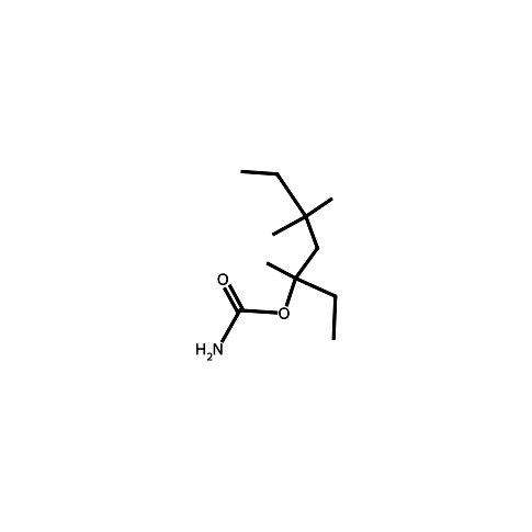 CCC(C)(C)CC(C)(CC)OC(N)=O